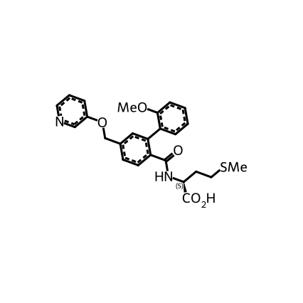 COc1ccccc1-c1cc(COc2cccnc2)ccc1C(=O)N[C@@H](CCSC)C(=O)O